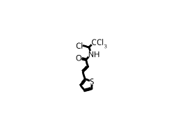 O=C(/C=C/c1cccs1)NC(Cl)C(Cl)(Cl)Cl